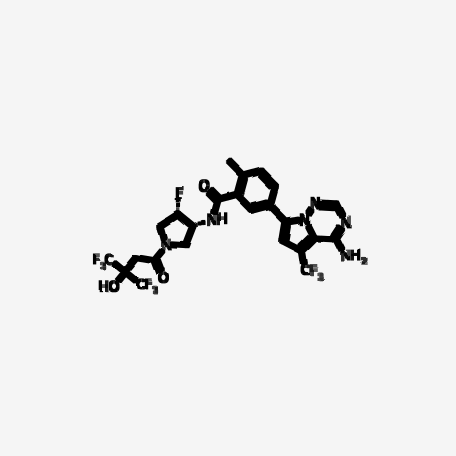 Cc1ccc(-c2cc(C(F)(F)F)c3c(N)ncnn23)cc1C(=O)N[C@@H]1CN(C(=O)CC(O)(C(F)(F)F)C(F)(F)F)C[C@@H]1F